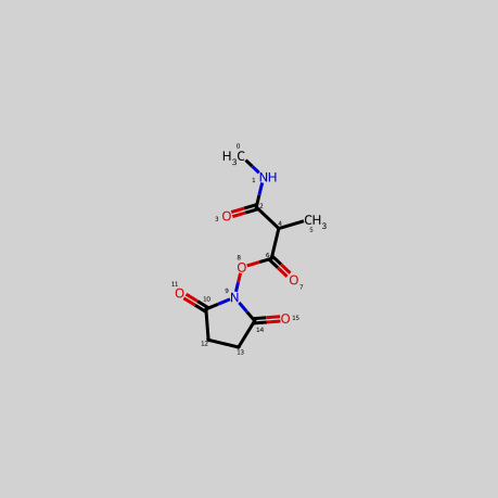 CNC(=O)C(C)C(=O)ON1C(=O)CCC1=O